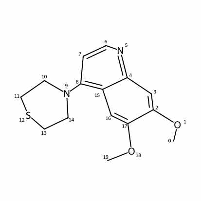 COc1cc2nccc(N3CCSCC3)c2cc1OC